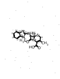 CC1=C(C(=O)O)N2C(=O)C(Nc3nc4ccccc4n3C)[C@@H]2SC1